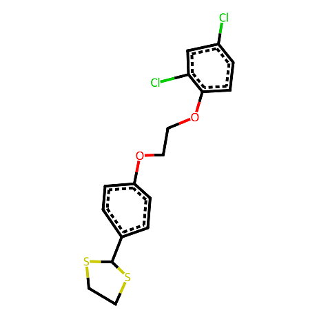 Clc1ccc(OCCOc2ccc(C3SCCS3)cc2)c(Cl)c1